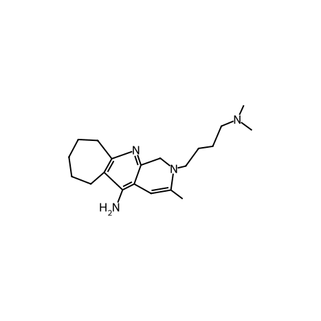 CC1=Cc2c(nc3c(c2N)CCCCC3)CN1CCCCN(C)C